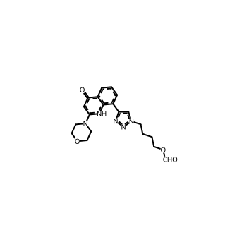 O=COCCCCn1cc(-c2cccc3c(=O)cc(N4CCOCC4)[nH]c23)nn1